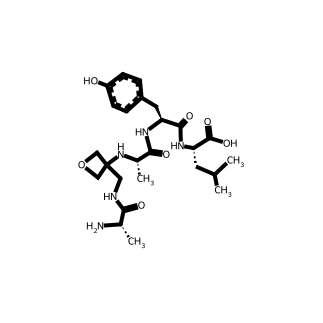 CC(C)C[C@H](NC(=O)[C@H](Cc1ccc(O)cc1)NC(=O)[C@H](C)NC1(CNC(=O)[C@H](C)N)COC1)C(=O)O